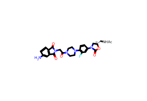 CC(=O)NC[C@H]1CN(c2ccc(N3CCN(C(=O)CN4C(=O)c5ccc(N)cc5C4=O)CC3)c(F)c2)C(=O)O1